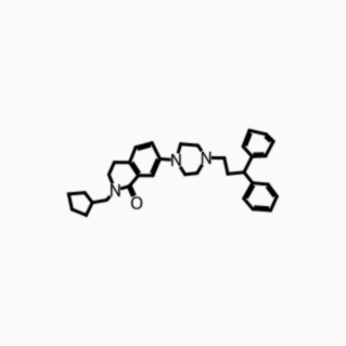 O=C1c2cc(N3CCN(CCC(c4ccccc4)c4ccccc4)CC3)ccc2CCN1CC1CCCC1